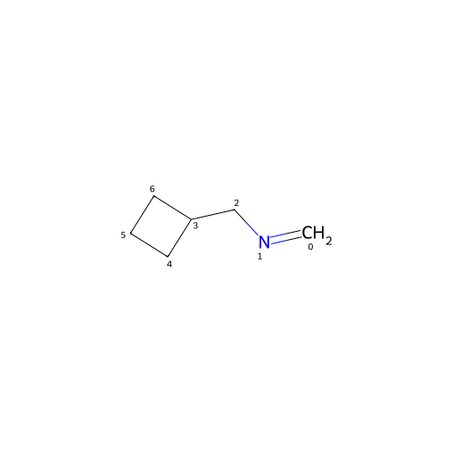 C=NCC1CCC1